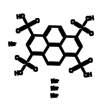 O=S(=O)(O)c1cc(S(=O)(=O)O)c2ccc3c(S(=O)(=O)O)cc(S(=O)(=O)O)c4ccc1c2c43.[Na].[Na].[Na].[Na]